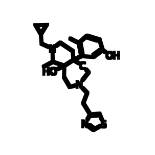 Cc1ccc(O)cc1C12CCN(CCc3cscn3)CCC1(O)C(C)N(CC1CC1)CC2